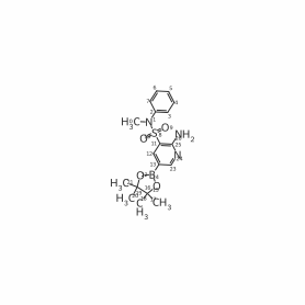 CN(c1ccccc1)S(=O)(=O)c1cc(B2OC(C)(C)C(C)(C)O2)cnc1N